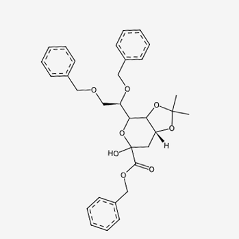 CC1(C)OC2C([C@@H](COCc3ccccc3)OCc3ccccc3)OC(O)(C(=O)OCc3ccccc3)C[C@H]2O1